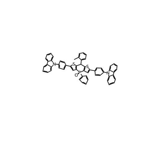 Cc1ccccc1C1c2sc(-c3ccc(-n4c5ccccc5c5ccccc54)cc3)cc2P(=O)(c2ccccc2)c2cc(-c3ccc(-n4c5ccccc5c5ccccc54)cc3)sc21